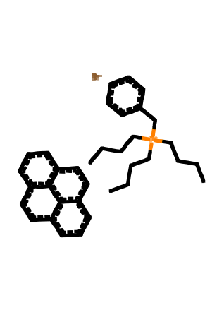 CCCC[P+](CCCC)(CCCC)Cc1ccccc1.[Br-].c1cc2ccc3cccc4ccc(c1)c2c34